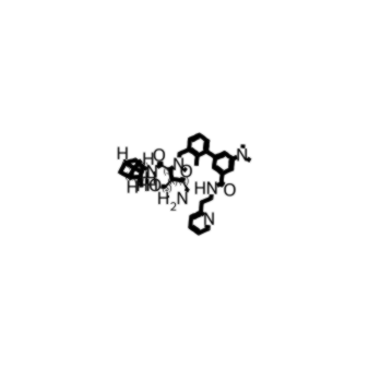 Cc1c(CN2O[C@@H](CN)[C@@H]([C@H](C)O)[C@H]2C(=O)N[C@H]2C[C@H]3C[C@@H]([C@@H]2C)C3(C)C)cccc1-c1cc(C(=O)NCCc2ccccn2)cc(N(C)C)c1